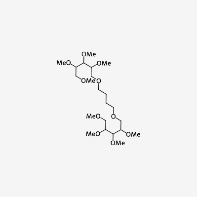 COCC(OC)C(OC)C(COCCCCOCC(OC)C(OC)C(COC)OC)OC